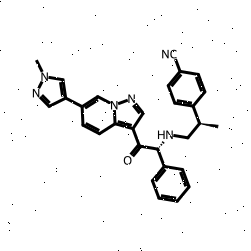 C[C@@H](CN[C@@H](C(=O)c1cnn2cc(-c3cnn(C)c3)ccc12)c1ccccc1)c1ccc(C#N)cc1